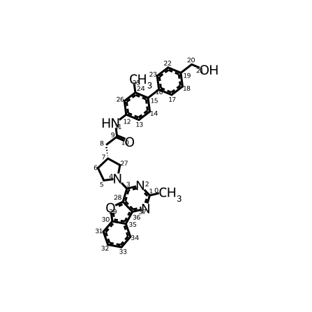 Cc1nc(N2CC[C@H](CC(=O)Nc3ccc(-c4ccc(CO)cc4)c(C)c3)C2)c2oc3ccccc3c2n1